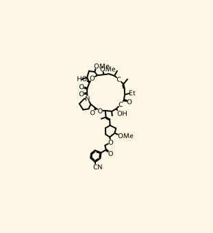 CCC1/C=C(\C)CC(C)CC(OC)C2OC(O)(C(=O)C(=O)N3CCCCC3C(=O)OC(C(C)=CC3CCC(OCC(=O)c4cccc(C#N)c4)C(OC)C3)C(C)C(O)CC1=O)C(C)CC2OC